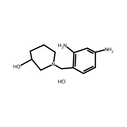 Cl.Nc1ccc(CN2CCCC(O)C2)c(N)c1